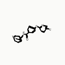 O=C(NC1CN2CCC1CC2)c1ccc(Oc2ccc(Cl)cn2)cc1